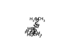 CN(C)CCn1cc(B(O)OC(C)(C)C(C)(C)O)cn1